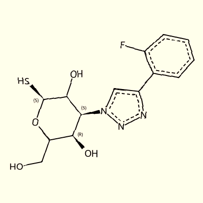 OCC1O[C@@H](S)C(O)[C@@H](n2cc(-c3ccccc3F)nn2)[C@H]1O